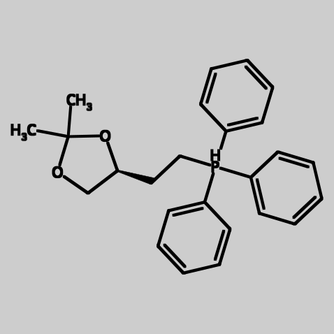 CC1(C)OC[C@H](CC[PH](c2ccccc2)(c2ccccc2)c2ccccc2)O1